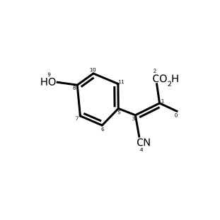 C/C(C(=O)O)=C(\C#N)c1ccc(O)cc1